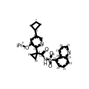 CC(C)Oc1cc(C2CCC2)cnc1C1(C(=O)NS(=O)(=O)c2cccc3ncccc23)CC1